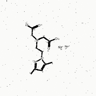 Cc1cc(C)n(CCN(CC(=O)[O-])CC(=O)[O-])n1.[Na+].[Na+]